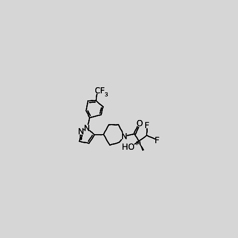 C[C@@](O)(C(=O)N1CCC(c2ccnn2-c2ccc(C(F)(F)F)cc2)CC1)C(F)F